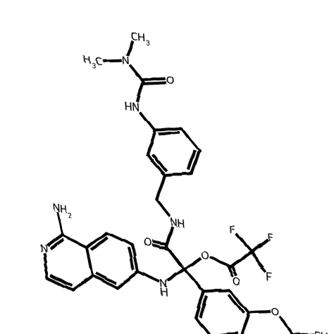 CCOc1cccc(C(Nc2ccc3c(N)nccc3c2)(OC(=O)C(F)(F)F)C(=O)NCc2cccc(NC(=O)N(C)C)c2)c1